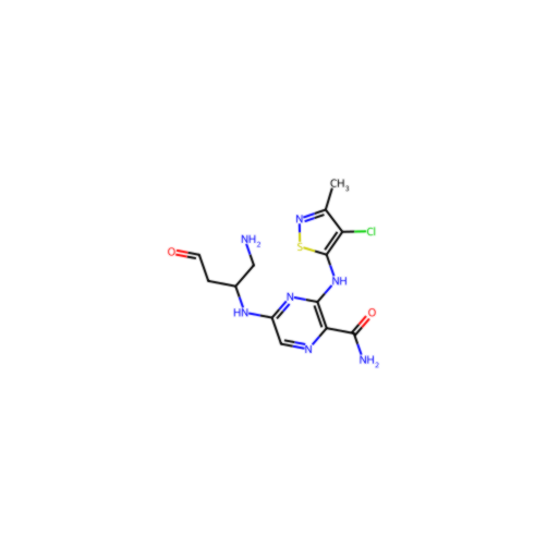 Cc1nsc(Nc2nc(NC(CN)CC=O)cnc2C(N)=O)c1Cl